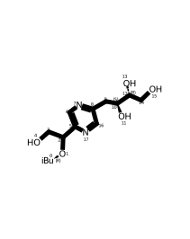 CC[C@@H](C)OC(CO)c1cnc(C[C@H](O)[C@H](O)CO)cn1